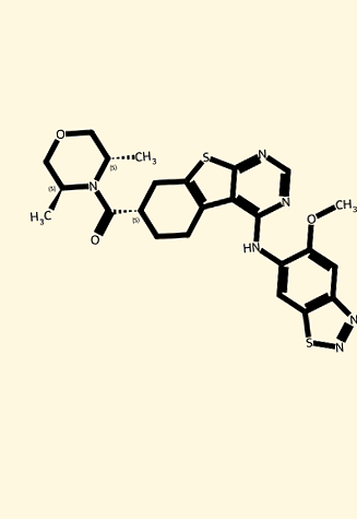 COc1cc2nnsc2cc1Nc1ncnc2sc3c(c12)CC[C@H](C(=O)N1[C@@H](C)COC[C@@H]1C)C3